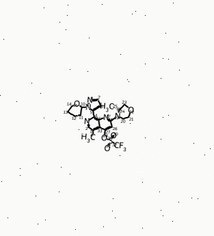 Cc1cnc(-c2ccnn2C2CCCCO2)c2nc(N3CCOC[C@H]3C)cc(OS(=O)(=O)C(F)(F)F)c12